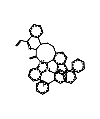 C=CC1=NC2C(=C)[n+]3c(n(-c4cc(-c5ccccc5)ccc4-c4ccccc4)c4c(F)cccc43)-c3c(ccc4c3sc3ccccc34)CCC2c2ccccc21